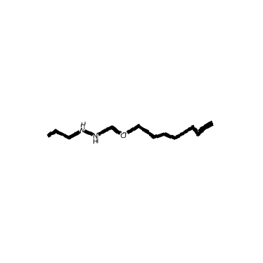 C=CCCCCCOCNNCCC